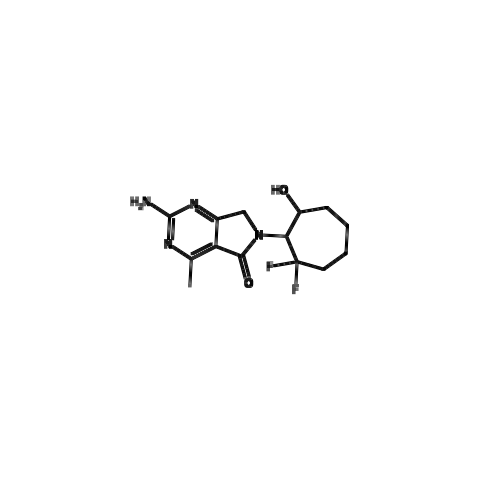 Cc1nc(N)nc2c1C(=O)N(C1C(O)CCCCC1(F)F)C2